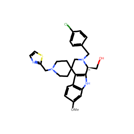 COc1ccc2c3c([nH]c2c1)[C@H](CO)N(Cc1ccc(Cl)cc1)CC31CCN(Cc2nccs2)CC1